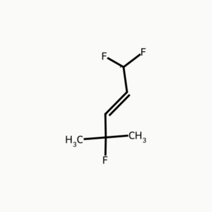 CC(C)(F)/C=C/[C](F)F